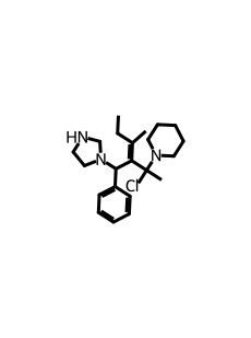 CC/C(C)=C(\C(c1ccccc1)N1CCNC1)C(C)(Cl)N1CCCCC1